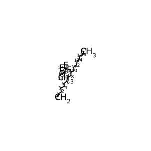 C=CCCCCCCCCCCCCCCCC.COCC(F)(F)F